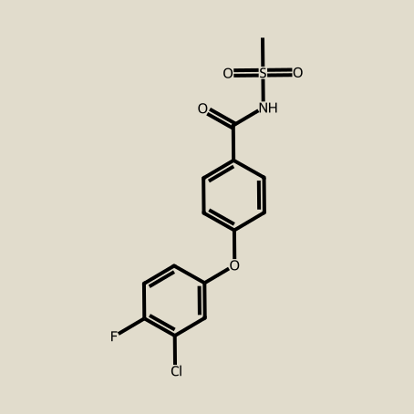 CS(=O)(=O)NC(=O)c1ccc(Oc2ccc(F)c(Cl)c2)cc1